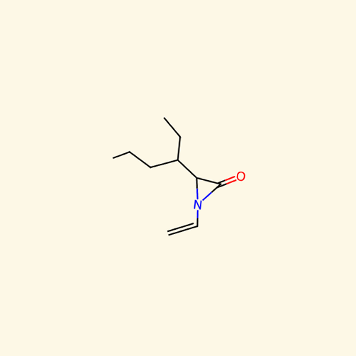 C=CN1C(=O)C1C(CC)CCC